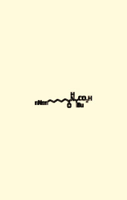 CCCCCCCCCCCCCCC(=O)NC(C(=O)O)C(C)CC